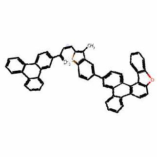 C=C(/C=C\c1sc2ccc(-c3ccc4c(c3)c3ccccc3c3ccc5oc6ccccc6c5c34)cc2c1C)c1ccc2c3ccccc3c3ccccc3c2c1